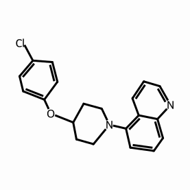 Clc1ccc(OC2CCN(c3cccc4ncccc34)CC2)cc1